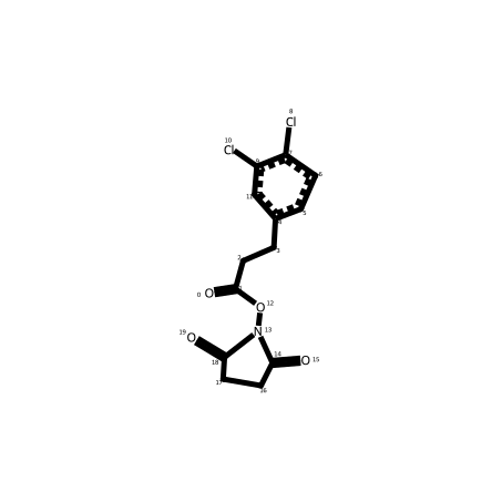 O=C(CCc1ccc(Cl)c(Cl)c1)ON1C(=O)CCC1=O